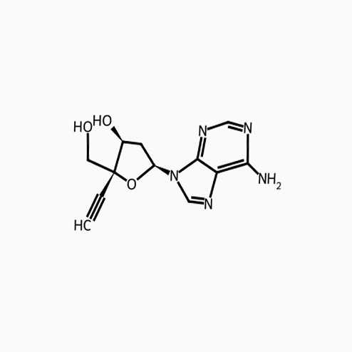 C#C[C@]1(CO)O[C@H](n2cnc3c(N)ncnc32)C[C@@H]1O